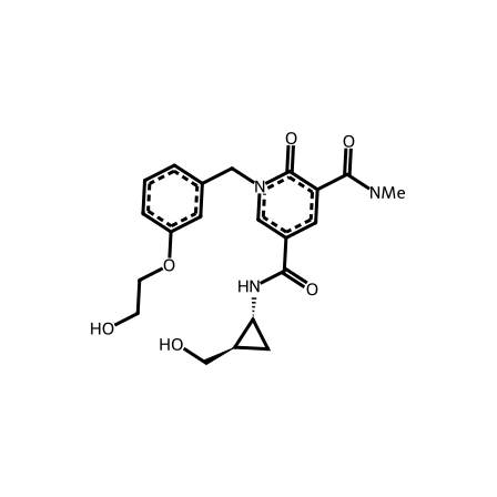 CNC(=O)c1cc(C(=O)N[C@@H]2C[C@H]2CO)cn(Cc2cccc(OCCO)c2)c1=O